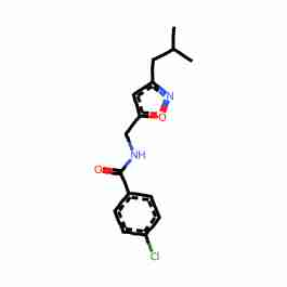 CC(C)Cc1cc(CNC(=O)c2ccc(Cl)cc2)on1